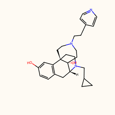 Oc1ccc2c(c1)[C@@]13CCN(CCc4ccncc4)CC[C@@]1(O)[C@@H](C2)N(CC1CC1)CC3